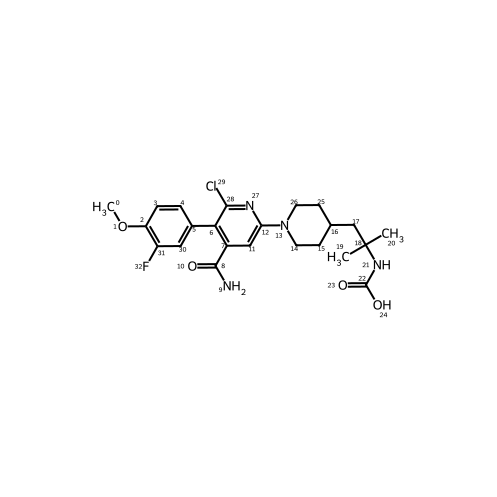 COc1ccc(-c2c(C(N)=O)cc(N3CCC(CC(C)(C)NC(=O)O)CC3)nc2Cl)cc1F